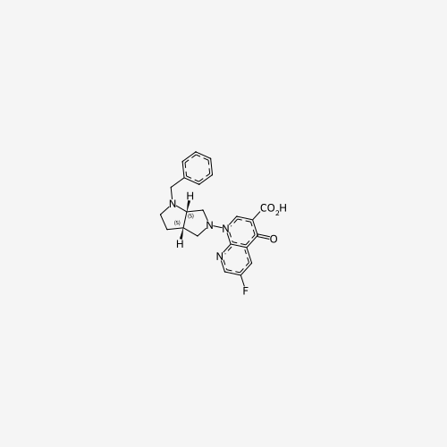 O=C(O)c1cn(N2C[C@@H]3CCN(Cc4ccccc4)[C@@H]3C2)c2ncc(F)cc2c1=O